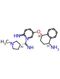 CN1CC[C@@H](C(=N)n2cc(O[C@@H]3CC[C@H](N)c4ccccc43)ccc2=N)C1